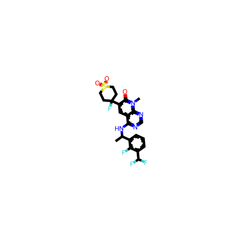 CC(Nc1ncnc2c1cc(C1(F)CCS(=O)(=O)CC1)c(=O)n2C)c1cccc(C(F)F)c1F